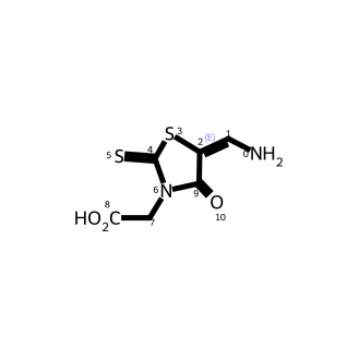 N/C=C1/SC(=S)N(CC(=O)O)C1=O